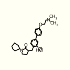 CN(C)CCOc1ccc(-c2ccc(CC3CCN(C4CCCCC4)C3=O)c(Cl)c2)cc1.Cl